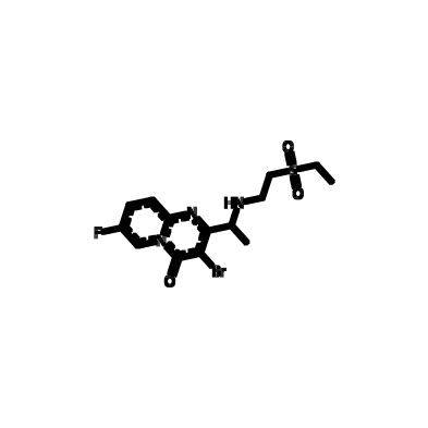 CCS(=O)(=O)CCNC(C)c1nc2ccc(F)cn2c(=O)c1Br